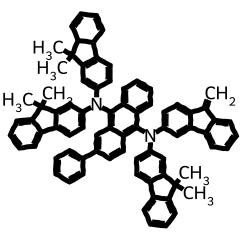 C=C1c2ccccc2-c2cc(N(c3ccc4c(c3)C(C)(C)c3ccccc3-4)c3c4ccccc4c(N(c4ccc5c(c4)C(C)(C)c4ccccc4-5)c4ccc5c(c4)C(C)(C)C4C=CC=CC54)c4cc(-c5ccccc5)ccc34)ccc21